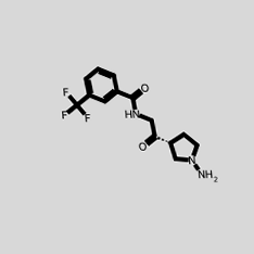 NN1CC[C@@H](C(=O)CNC(=O)c2cccc(C(F)(F)F)c2)C1